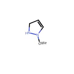 CON1C=CCN1